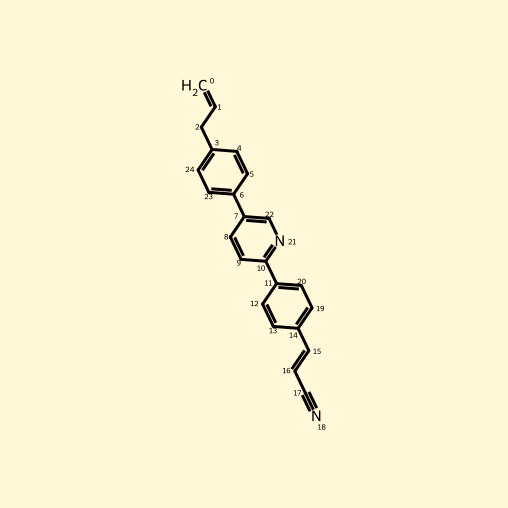 C=CCc1ccc(-c2ccc(-c3ccc(C=CC#N)cc3)nc2)cc1